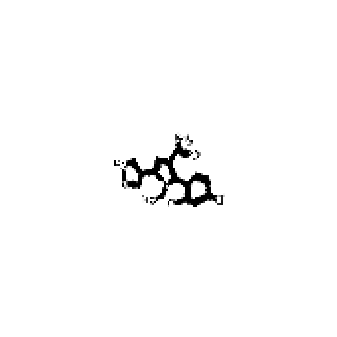 NC(=O)c1cc(-c2cn[nH]c2)n(CO)c1-c1ccc(Cl)cc1Cl